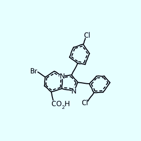 O=C(O)c1cc(Br)cn2c(-c3ccc(Cl)cc3)c(-c3ccccc3Cl)nc12